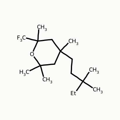 CCC(C)(C)CCC1(C)CC(C)(C)OC(C)(C(F)(F)F)C1